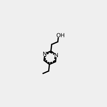 CCc1cnc(CCO)nc1